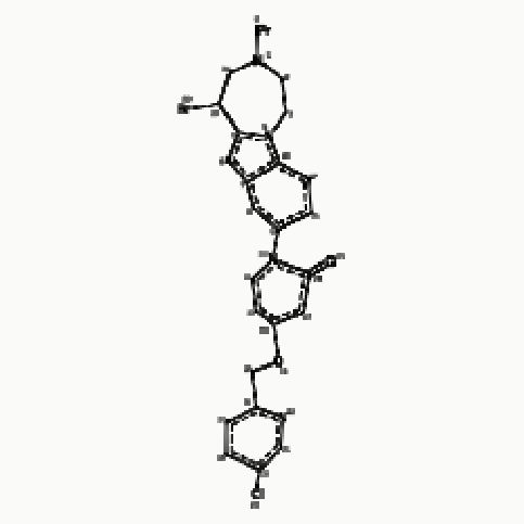 CC(C)N1CCn2c(cc3cc(-n4ccc(OCc5ccc(Cl)cn5)cc4=O)ccc32)C(Br)C1